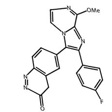 COc1nccn2c(-c3ccc4c(c3)CC(=O)N=N4)c(-c3ccc(F)cc3)nc12